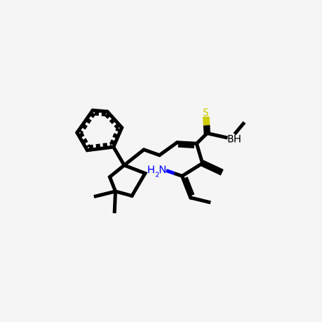 C=C(/C(N)=C\C)/C(=C\CCC1(c2ccccc2)CCC(C)(C)C1)C(=S)BC